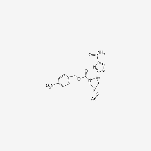 CC(=O)S[C@H]1C[C@@H](c2nc(C(N)=O)cs2)N(C(=O)OCc2ccc([N+](=O)[O-])cc2)C1